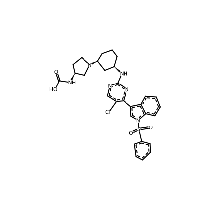 O=C(O)N[C@H]1CCN([C@H]2CCC[C@@H](Nc3ncc(Cl)c(-c4cn(S(=O)(=O)c5ccccc5)c5ccccc45)n3)C2)C1